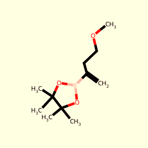 C=C(CCOC)B1OC(C)(C)C(C)(C)O1